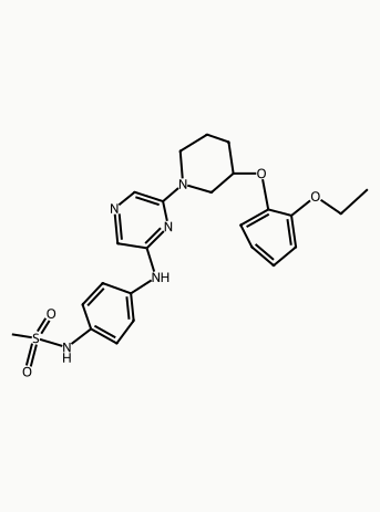 CCOc1ccccc1OC1CCCN(c2cncc(Nc3ccc(NS(C)(=O)=O)cc3)n2)C1